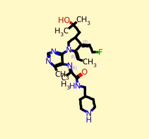 C/C=C1\C(=C/CF)C(CC(C)(C)O)CN1c1ncnc(C)c1/N=C(\C)C(=O)NCC1CCNCC1